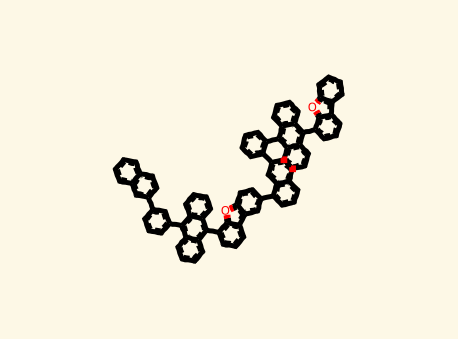 c1cc(-c2ccc3ccccc3c2)cc(-c2c3ccccc3c(-c3cccc4c3oc3ccc(-c5cccc6ccc(-c7ccccc7-c7c8ccccc8c(-c8cccc9c8oc8ccccc89)c8ccccc78)cc56)cc34)c3ccccc23)c1